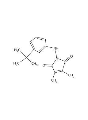 CC1=C(C)C(=O)N(Nc2cccc(C(C)(C)C)c2)C1=O